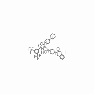 O=C(N[C@@H](CC(=O)N1CCC(N2Cc3ccccc3NC2=O)CC1)C(=O)N1CCC(N2CCCCC2)CC1)c1cc(C(F)(F)F)cc(C(F)(F)F)c1